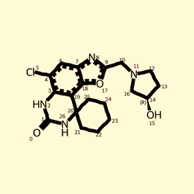 O=C1Nc2c(Cl)cc3nc(CN4CC[C@@H](O)C4)oc3c2C2(CCCCC2)N1